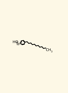 CCCCCCCCCCCCc1cc[c]([Sn][OH])cc1